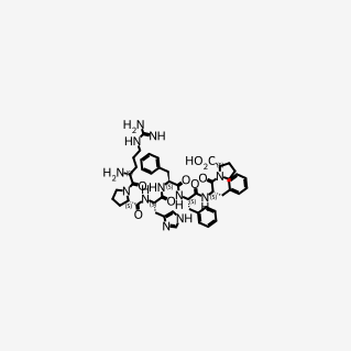 N=C(N)NCCC[C@H](N)C(=O)N1CCC[C@H]1C(=O)N[C@@H](Cc1c[nH]cn1)C(=O)N[C@@H](Cc1ccccc1)C(=O)N[C@@H](Cc1ccccc1)C(=O)N[C@@H](Cc1ccccc1)C(=O)N1CCC[C@H]1C(=O)O